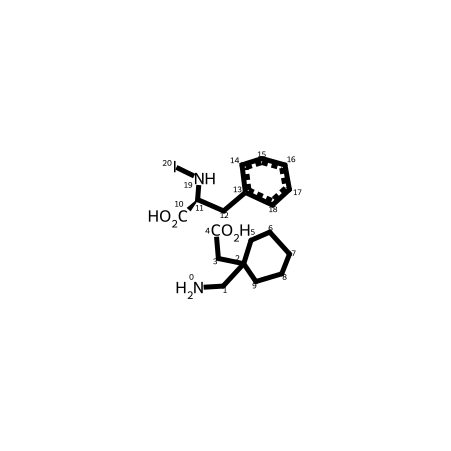 NCC1(CC(=O)O)CCCCC1.O=C(O)[C@H](Cc1ccccc1)NI